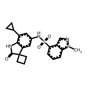 Cn1ncc2c(S(=O)(=O)Nc3cc(C4CC4)c4c(c3)C3(CCC3)C(=O)N4)cccc21